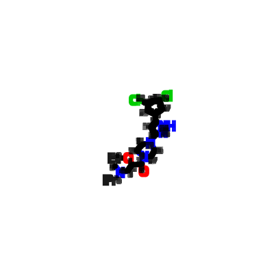 CCOC(CN(C)C(C)C)C(=O)N1CCN(c2cc(-c3cc(Cl)cc(Cl)c3)[nH]n2)CC1